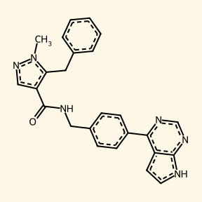 Cn1ncc(C(=O)NCc2ccc(-c3ncnc4[nH]ccc34)cc2)c1Cc1ccccc1